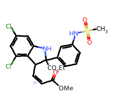 CCOC(=O)C1(c2cccc(NS(C)(=O)=O)c2)Nc2cc(Cl)cc(Cl)c2C1/C=C\C(=O)OC